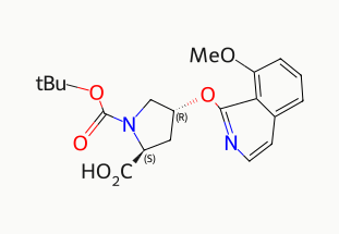 COc1cccc2ccnc(O[C@@H]3C[C@@H](C(=O)O)N(C(=O)OC(C)(C)C)C3)c12